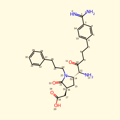 N=C(N)c1ccc(CCCC(=O)C(N)[C@@H]2C[C@@H](CC(=O)O)C(=O)N2CCCc2ccccc2)cc1